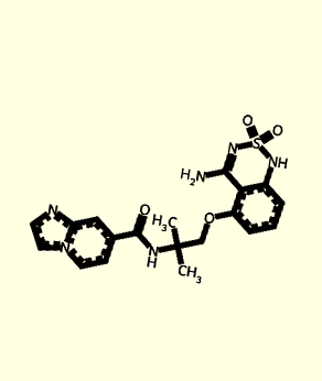 CC(C)(COc1cccc2c1C(N)=NS(=O)(=O)N2)NC(=O)c1ccn2ccnc2c1